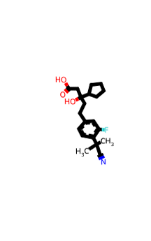 CC(C)(C#N)c1ccc(CCC(O)(CC(=O)O)C2CCCC2)cc1F